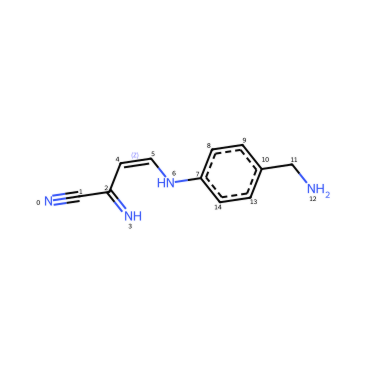 N#CC(=N)/C=C\Nc1ccc(CN)cc1